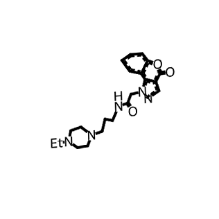 CCN1CCN(CCCNC(=O)Cn2ncc3c(=O)oc4ccccc4c32)CC1